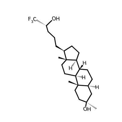 C[C@]1(O)CC[C@@]2(C)[C@@H](CC[C@@H]3[C@@H]2CC[C@]2(C)[C@@H](CCC[C@@H](O)C(F)(F)F)CC[C@@H]32)C1